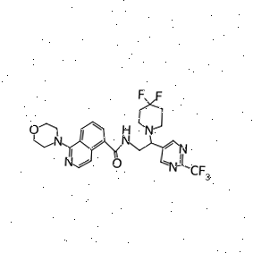 O=C(NCC(c1cnc(C(F)(F)F)nc1)N1CCC(F)(F)CC1)c1cccc2c(N3CCOCC3)nccc12